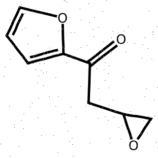 O=C(CC1CO1)c1ccco1